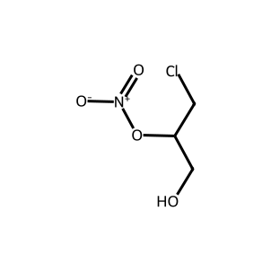 O=[N+]([O-])OC(CO)CCl